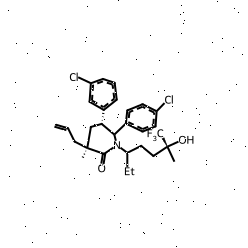 C=CC[C@@]1(C)C[C@H](c2cccc(Cl)c2)C(c2ccc(Cl)cc2)N(C(CC)CC[C@@](C)(O)C(F)(F)F)C1=O